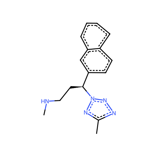 CNCC[C@@H](c1ccc2ccccc2c1)n1nnc(C)n1